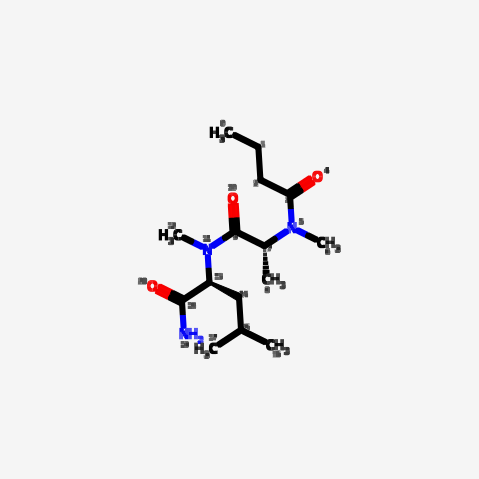 CCCC(=O)N(C)[C@H](C)C(=O)N(C)[C@@H](CC(C)C)C(N)=O